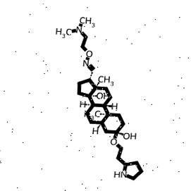 CN(C)CCON=C[C@H]1CC[C@]2(O)[C@@H]3CC[C@@H]4C[C@@](O)(OCCC5CCCN5)CC[C@]4(C)[C@H]3CC[C@]12C